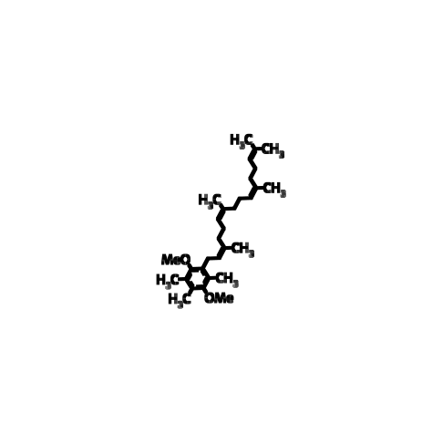 COc1c(C)c(C)c(OC)c(CC=C(C)CCC=C(C)CCC=C(C)CCC=C(C)C)c1C